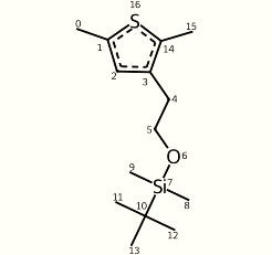 Cc1cc(CCO[Si](C)(C)C(C)(C)C)c(C)s1